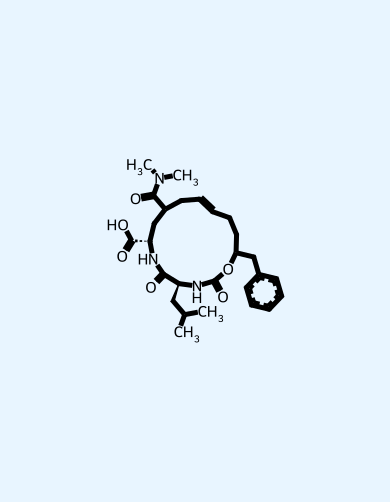 CC(C)C[C@@H]1NC(=O)OC(Cc2ccccc2)CC/C=C/CC(C(=O)N(C)C)C[C@@H](C(=O)O)NC1=O